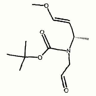 COC=C[C@H](C)N(CC=O)C(=O)OC(C)(C)C